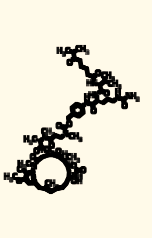 COc1cc2cc(c1Cl)N(C)C(=O)C[C@H](OC(=O)[C@H](C)N(C)C(=O)CCN(C)C(=O)OCc1ccc(NC(=O)[C@H](CCCNC(N)=O)NC(=O)[C@@H](NC(=O)CCCCC(=O)C(C)C)C(C)C)cc1)[C@]1(C)O[C@H]1[C@H](C)[C@@H]1C[C@](O)(C/C=C/C=C(\C)C2)NC(=O)O1